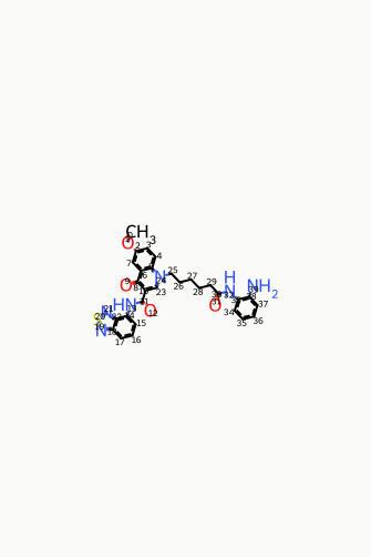 COc1ccc2c(c1)c(=O)c(C(=O)Nc1cccc3nsnc13)cn2CCCCCC(=O)Nc1ccccc1N